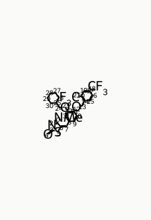 CNC1=NC(=O)SC1=Cc1ccc(OCc2ccc(C(F)(F)F)cc2C(F)(F)F)c(OCC2CCCCC2)c1